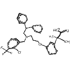 CC(C)(C(=O)O)c1cccc(OCCCN(Cc2cccc(C(F)(F)F)c2Cl)CC(c2ccccc2)c2ccccc2)c1